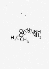 Cc1cc2c(cc1C)OC(CN1CCN(C(=N)N)CC1)CO2